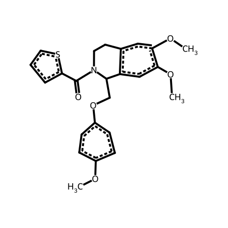 COc1ccc(OCC2c3cc(OC)c(OC)cc3CCN2C(=O)c2cccs2)cc1